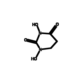 O=C1CCN(O)C(=O)N1O